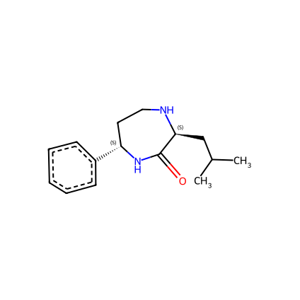 CC(C)C[C@@H]1NCC[C@@H](c2ccccc2)NC1=O